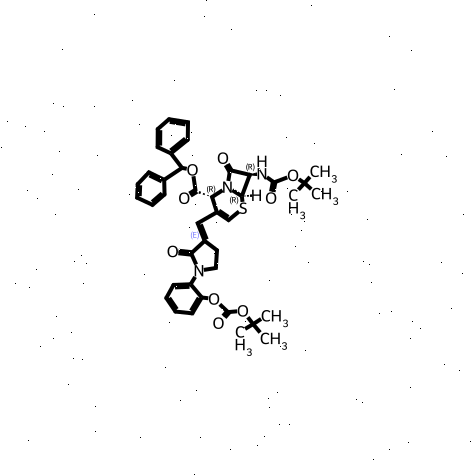 CC(C)(C)OC(=O)N[C@@H]1C(=O)N2[C@@H](C(=O)OC(c3ccccc3)c3ccccc3)C(/C=C3\CCN(c4ccccc4OC(=O)OC(C)(C)C)C3=O)=CS[C@H]12